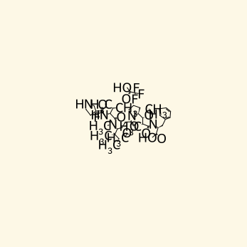 CC[C@H](C)[C@@H]([C@@H](CC(=O)N1CCC[C@H]1[C@H](OC)[C@@H](C)C(=O)N[C@@H](Cc1ccccc1)C(=O)O)OC)N(C)C(=O)[C@@H](NC(=O)[C@@]1(F)CCNC1)C(C)C.O=C(O)C(F)(F)F